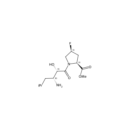 COC(=O)[C@@H]1C[C@H](F)CN1C(=O)[C@@H](O)[C@H](N)CC(C)C